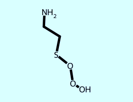 NCCSOOO